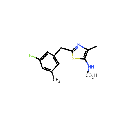 Cc1nc(Cc2cc(F)cc(C(F)(F)F)c2)sc1NC(=O)O